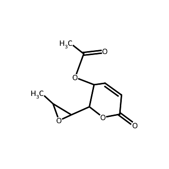 CC(=O)OC1C=CC(=O)OC1C1OC1C